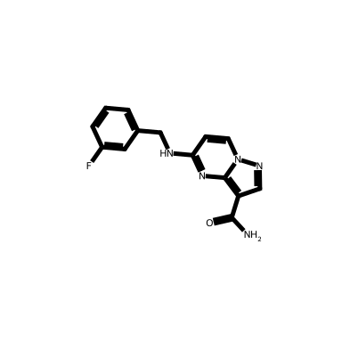 NC(=O)c1cnn2ccc(NCc3cccc(F)c3)nc12